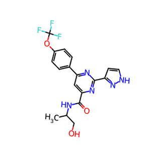 CC(CO)NC(=O)c1cc(-c2ccc(OC(F)(F)F)cc2)nc(-c2cc[nH]n2)n1